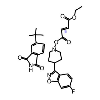 CC(C)(C)c1ccc2c(c1)C(=O)NC2=O.CCOC(=O)/C=C/C(=O)ON1CCC(c2noc3cc(F)ccc23)CC1